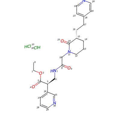 CCOC(=O)[C@@H](CNC(=O)CN1CCC[C@@H](CCc2ccncc2)C1=O)c1cccnc1.Cl.Cl